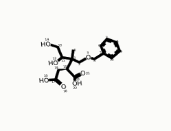 CC(COCc1ccccc1)(C(O)CO)[C@H](CC(=O)O)C(=O)O